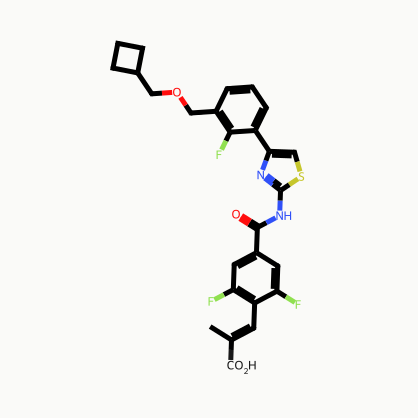 C/C(=C\c1c(F)cc(C(=O)Nc2nc(-c3cccc(COCC4CCC4)c3F)cs2)cc1F)C(=O)O